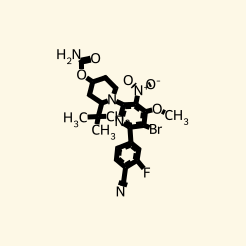 COc1c(Br)c(-c2ccc(C#N)c(F)c2)nc(N2CCC(OC(N)=O)CC2C(C)(C)C)c1[N+](=O)[O-]